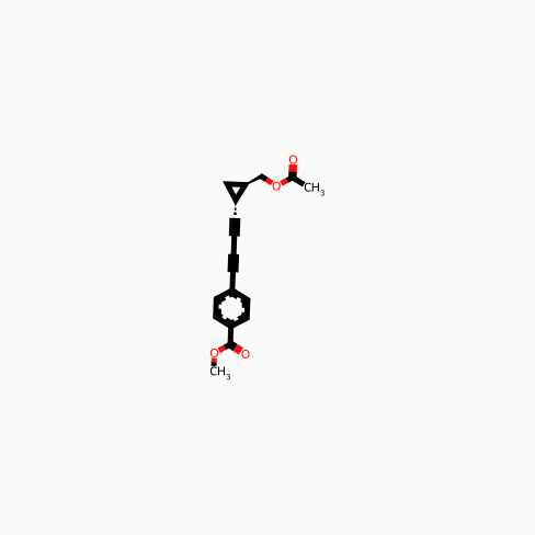 COC(=O)c1ccc(C#CC#C[C@@H]2C[C@H]2COC(C)=O)cc1